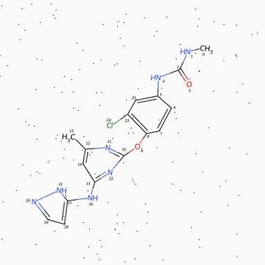 CNC(=O)Nc1ccc(Oc2nc(C)cc(Nc3ccn[nH]3)n2)c(Cl)c1